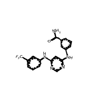 NC(=O)c1cccc(Nc2cc(Nc3cccc(C(F)(F)F)c3)ncn2)c1